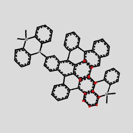 C[Si]1(C)c2ccccc2N(c2ccc3c(-c4ccccc4-c4cccc5ccccc45)c4cc(N5c6ccccc6[Si](C)(C)c6ccccc65)ccc4c(-c4ccccc4-c4cccc5ccccc45)c3c2)c2ccccc21